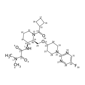 CN(C)C(=O)C(=O)N[C@H]1CCCN(C(=O)C2CCC2)[C@H]1COC1CCN(c2ncc(F)cn2)CC1